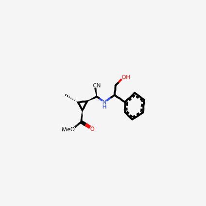 COC(=O)[C@H]1[C@H](C)[C@H]1[C@@H](C#N)NC(CO)c1ccccc1